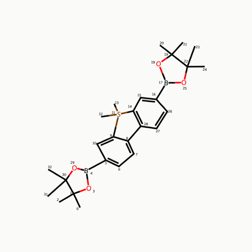 CC1(C)OB(c2ccc3c(c2)S(C)(C)c2cc(B4OC(C)(C)C(C)(C)O4)ccc2-3)OC1(C)C